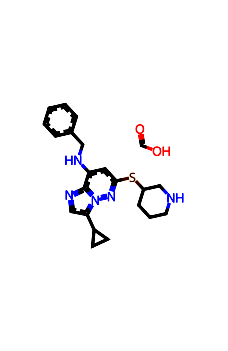 O=CO.c1ccc(CNc2cc(SC3CCCNC3)nn3c(C4CC4)cnc23)cc1